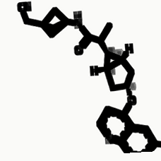 CC(C(=O)NC12CC(CC#N)(C1)C2)[C@H]1[C@@H]2C[C@H](Oc3ccnc4ccc(F)cc34)C[C@@H]21